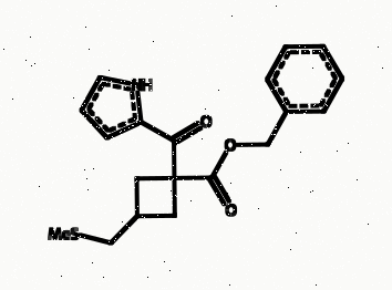 CSCC1CC(C(=O)OCc2ccccc2)(C(=O)c2ccc[nH]2)C1